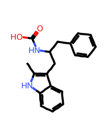 Cc1[nH]c2ccccc2c1CC(Cc1ccccc1)NC(=O)O